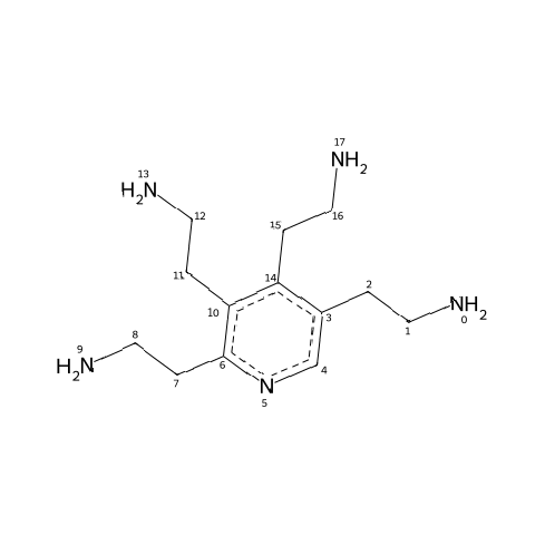 NCCc1cnc(CCN)c(CCN)c1CCN